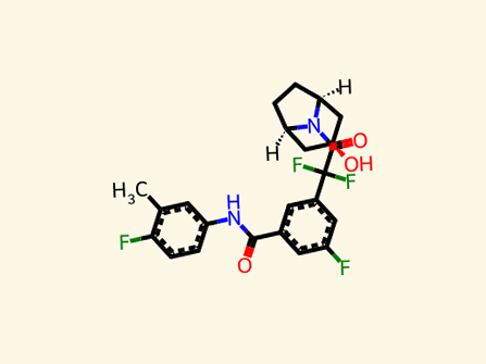 Cc1cc(NC(=O)c2cc(F)cc(C(F)(F)C(=O)N3[C@@H]4CC[C@H]3C[C@@H](O)C4)c2)ccc1F